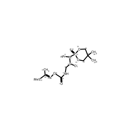 CCCN([S+]([O-])CNC(=O)ON=C(C)SC)P1(=S)OCC(C)(C)CO1